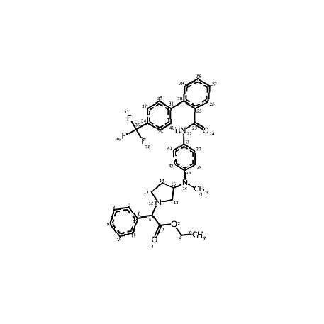 CCOC(=O)C(c1ccccc1)N1CCC(N(C)c2ccc(NC(=O)c3ccccc3-c3ccc(C(F)(F)F)cc3)cc2)C1